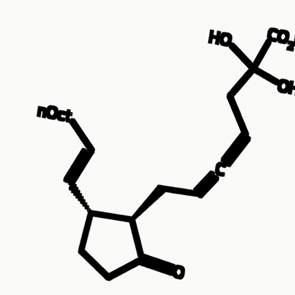 CCCCCCCCC=C[C@H]1CCC(=O)[C@@H]1CC=C=CCC(O)(O)C(=O)O